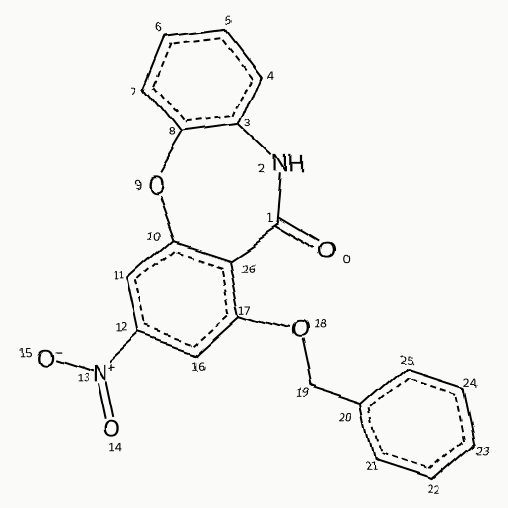 O=C1Nc2ccccc2Oc2cc([N+](=O)[O-])cc(OCc3ccccc3)c21